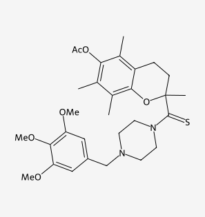 COc1cc(CN2CCN(C(=S)C3(C)CCc4c(C)c(OC(C)=O)c(C)c(C)c4O3)CC2)cc(OC)c1OC